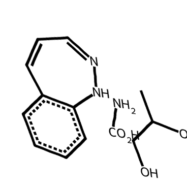 C1=Cc2ccccc2NN=C1.CC(O)CO.NC(=O)O